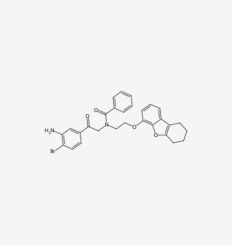 Nc1cc(C(=O)CN(CCOc2cccc3c4c(oc23)CCCC4)C(=O)c2ccccc2)ccc1Br